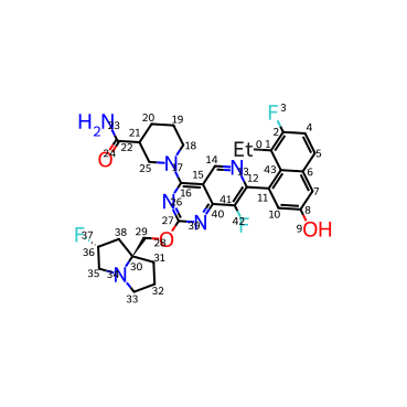 CCc1c(F)ccc2cc(O)cc(-c3ncc4c(N5CCCC(C(N)=O)C5)nc(OC[C@@]56CCCN5C[C@H](F)C6)nc4c3F)c12